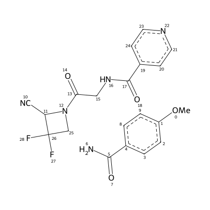 COc1ccc(C(N)=O)cc1.N#CC1N(C(=O)CNC(=O)c2ccncc2)CC1(F)F